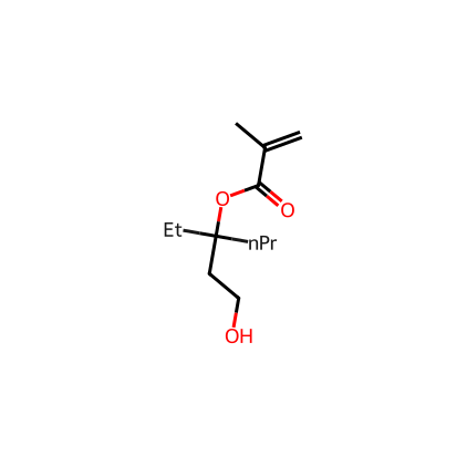 C=C(C)C(=O)OC(CC)(CCC)CCO